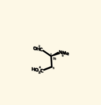 CN[C@H](C=O)CC(=O)O